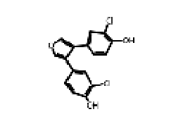 Oc1ccc(-c2cocc2-c2ccc(O)c(Cl)c2)cc1Cl